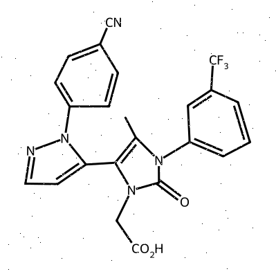 Cc1c(-c2ccnn2-c2ccc(C#N)cc2)n(CC(=O)O)c(=O)n1-c1cccc(C(F)(F)F)c1